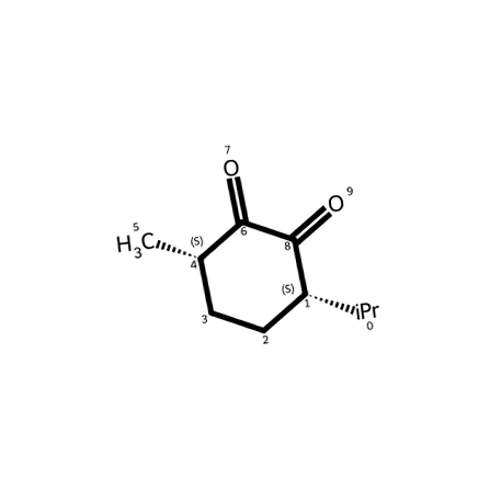 CC(C)[C@@H]1CC[C@H](C)C(=O)C1=O